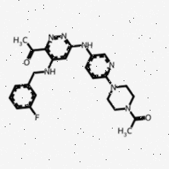 CC(=O)c1nnc(Nc2ccc(N3CCN(C(C)=O)CC3)nc2)cc1NCc1cccc(F)c1